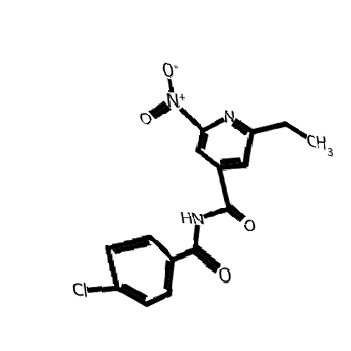 CCc1cc(C(=O)NC(=O)c2ccc(Cl)cc2)cc([N+](=O)[O-])n1